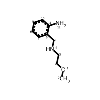 COCCNCc1ccccc1N